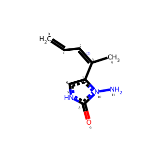 C=C/C=C(/C)c1c[nH]c(=O)n1N